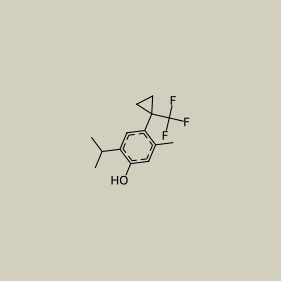 Cc1cc(O)c(C(C)C)cc1C1(C(F)(F)F)CC1